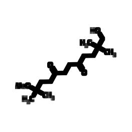 COC(C)(C)CCC(=O)CCC(=O)CCC(C)(C)CO